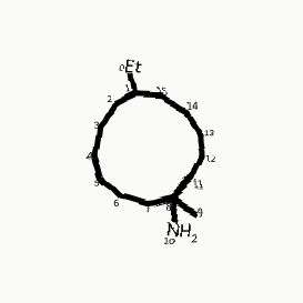 CCC1CCCCCCC(C)(N)CCCCC1